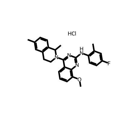 COc1cccc2c(N3CCc4cc(C)ccc4C3C)nc(Nc3ccc(F)cc3C)nc12.Cl